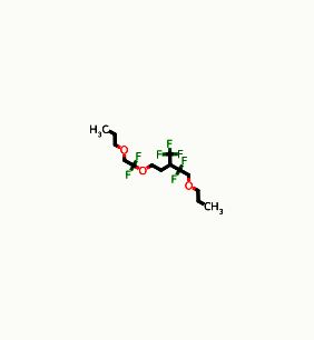 CCCOCC(F)(F)OCCC(C(F)(F)F)C(F)(F)COCCC